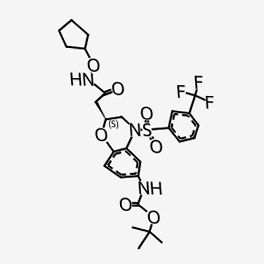 CC(C)(C)OC(=O)Nc1ccc2c(c1)N(S(=O)(=O)c1cccc(C(F)(F)F)c1)C[C@H](CC(=O)NOC1CCCC1)O2